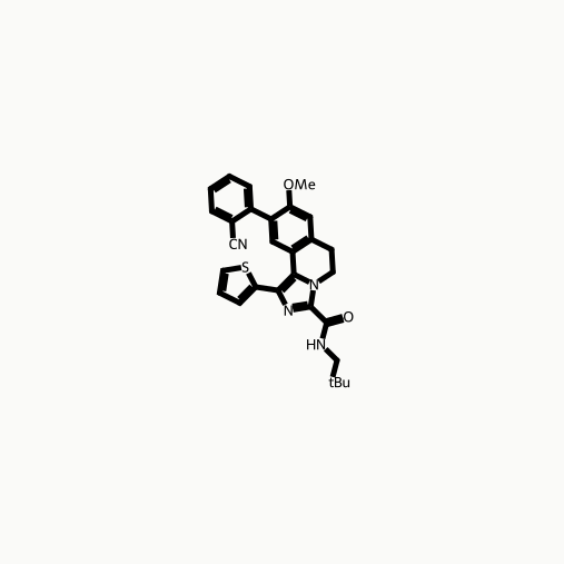 COc1cc2c(cc1-c1ccccc1C#N)-c1c(-c3cccs3)nc(C(=O)NCC(C)(C)C)n1CC2